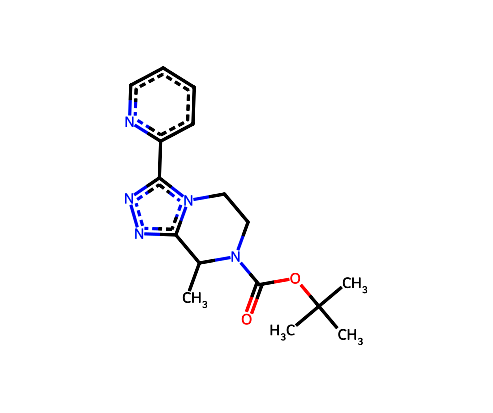 CC1c2nnc(-c3ccccn3)n2CCN1C(=O)OC(C)(C)C